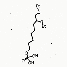 CCOCC(CCCCCCOP(=O)(O)O)OCC